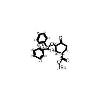 CC(C)(C)OC(=O)N1CCC(=O)C(O[Si](c2ccccc2)(c2ccccc2)C(C)(C)C)C1